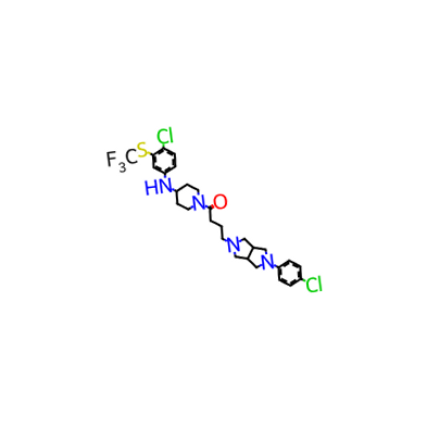 O=C(CCCN1CC2CN(c3ccc(Cl)cc3)CC2C1)N1CCC(Nc2ccc(Cl)c(SC(F)(F)F)c2)CC1